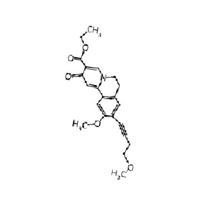 CCOC(=O)c1cn2c(cc1=O)-c1cc(OC)c(C#CCCOC)cc1CC2